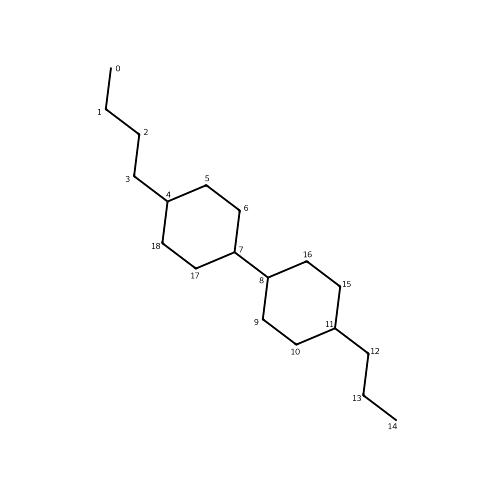 CCCCC1CCC(C2CCC(CCC)CC2)CC1